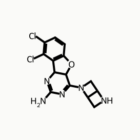 NC1=NC2c3c(ccc(Cl)c3Cl)OC2C(N2CC3NCC32)=N1